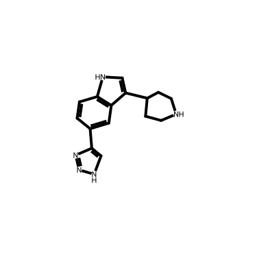 c1cc2[nH]cc(C3CCNCC3)c2cc1-c1c[nH]nn1